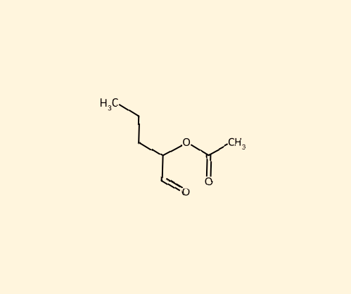 CCCC(C=O)OC(C)=O